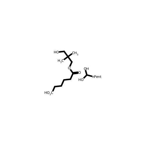 CC(C)(CO)COC(=O)CCCCC(=O)O.CCCCCC(O)O